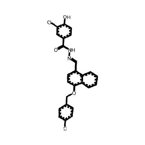 O=C(N/N=C/c1ccc(OCc2ccc(Cl)cc2)c2ccccc12)c1ccc(O)c(Cl)c1